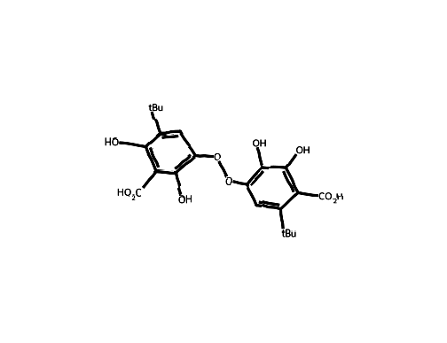 CC(C)(C)c1cc(OOc2cc(C(C)(C)C)c(C(=O)O)c(O)c2O)c(O)c(C(=O)O)c1O